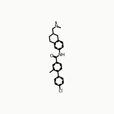 Cc1cc(C(=O)Nc2ccc3c(c2)CCC(CN(C)C)C3)ccc1-c1ccc(Cl)cc1